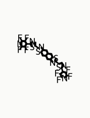 Fc1nc(F)c(F)c(-c2ncc(-c3nc4cc5cc6sc(-c7cnc(-c8c(F)c(F)nc(F)c8F)s7)nc6cc5cc4s3)s2)c1F